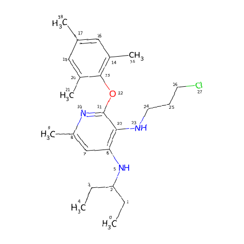 CCC(CC)Nc1cc(C)nc(Oc2c(C)cc(C)cc2C)c1NCCCCl